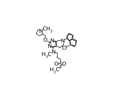 C=CS(=O)(=O)CCCN(C)c1nc(OCC2CCCN2C)nc2c1CCN(c1cccc3cccc(Cl)c13)C2